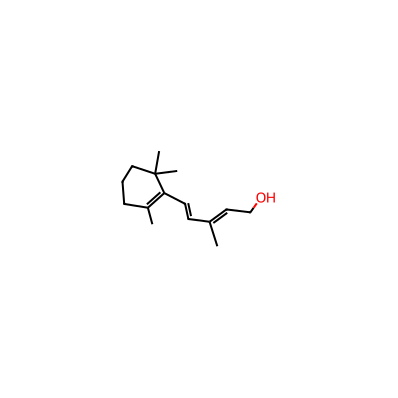 CC(C=CC1=C(C)CCCC1(C)C)=CCO